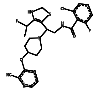 N#Cc1nccnc1OC1CCN(C(CNC(=O)c2c(F)cccc2Cl)C2=C(C(F)F)NCS2)CC1